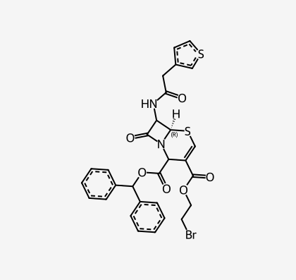 O=C(Cc1ccsc1)NC1C(=O)N2C(C(=O)OC(c3ccccc3)c3ccccc3)C(C(=O)OCCBr)=CS[C@H]12